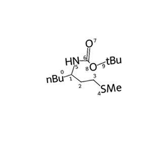 CCCCC(CCSC)NC(=O)OC(C)(C)C